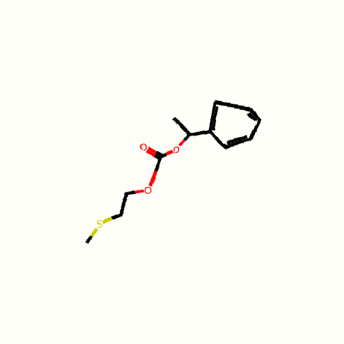 CSCCOC(=O)OC(C)c1ccccc1